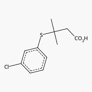 CC(C)(CC(=O)O)Sc1cccc(Cl)c1